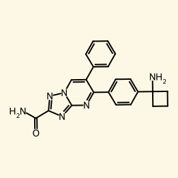 NC(=O)c1nc2nc(-c3ccc(C4(N)CCC4)cc3)c(-c3ccccc3)cn2n1